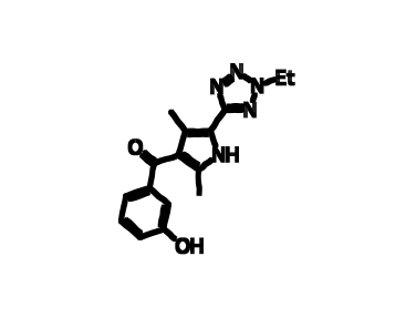 CCn1nnc(-c2[nH]c(C)c(C(=O)c3cccc(O)c3)c2C)n1